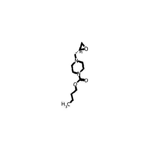 CCCCOC(=O)N1CCN(C[C@@H]2CO2)CC1